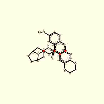 COc1ccc2ncc(C#N)c(CCN3C4CCC3CC(NS(=O)(=O)c3ccc5c(c3)OCCO5)C4)c2c1